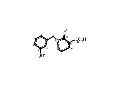 CC(C)c1cccc(Cn2cccc(C(=O)O)c2=O)c1